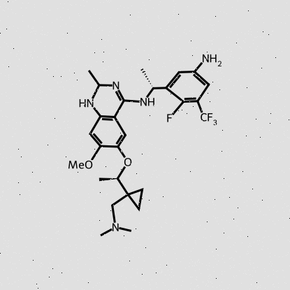 COc1cc2c(cc1O[C@H](C)C1(CN(C)C)CC1)C(N[C@H](C)c1cc(N)cc(C(F)(F)F)c1F)=NC(C)N2